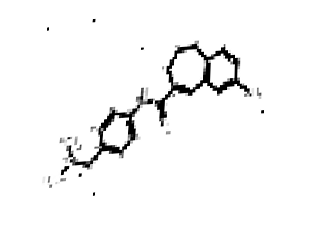 Cc1ccc2c(c1)C=C(C(=O)Nc1ccc(CN(C)C)cc1)CCC2